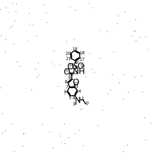 CCN(C)c1ccc2cc(C(=O)NS(=O)(=O)c3ccccc3)oc2c1